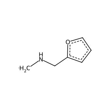 [CH2]NCc1ccco1